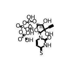 C#CC1(O)[C@@H](O)[C@@H](OP(=O)(O)OP(=O)(O)OP(=O)(O)O)O[C@H]1n1ccc(=S)[nH]c1=O